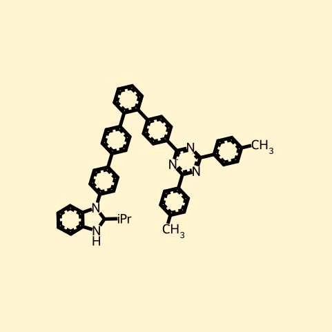 Cc1ccc(-c2nc(-c3ccc(C)cc3)nc(-c3ccc(-c4ccccc4-c4ccc(-c5ccc(N6c7ccccc7NC6C(C)C)cc5)cc4)cc3)n2)cc1